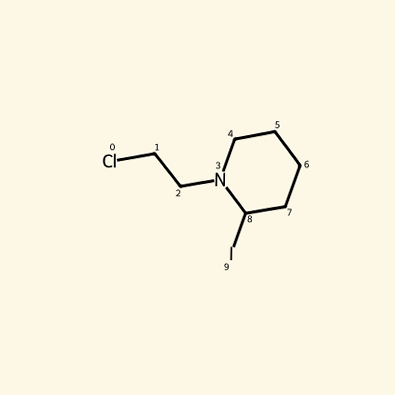 ClCCN1CCCCC1I